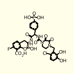 O=C(O)c1c(F)ccc2c1OB(O)[C@@H](NC(=O)C(NC(=O)N1CCN(Cc3c(Cl)ccc(O)c3O)C(=O)C1=O)c1ccc(P(=O)(O)O)cc1)C2